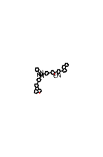 N#Cc1cc(-c2ccc(-c3nc(-c4ccccc4)nc(-c4ccc(-c5ccc6c(c5)-c5cccc7cccc-6c57)cc4)n3)cc2)ccc1-c1ccc(-c2cccc3c2ccc2ccccc23)cc1